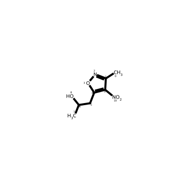 Cc1noc(CC(C)O)c1[N+](=O)[O-]